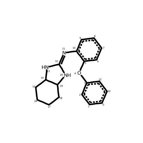 c1ccc(Oc2ccccc2N=C2NC3CCCCC3N2)cc1